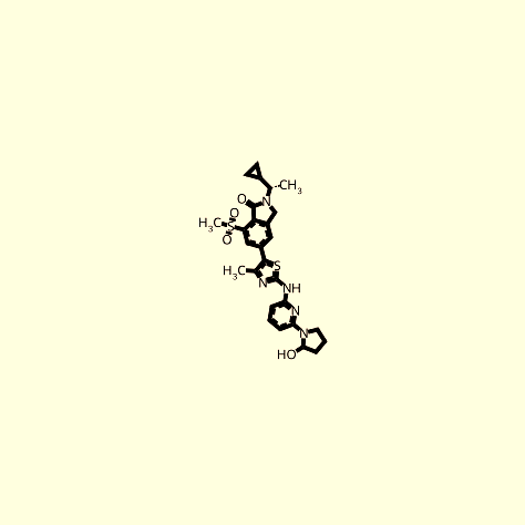 Cc1nc(Nc2cccc(N3CCCC3O)n2)sc1-c1cc2c(c(S(C)(=O)=O)c1)C(=O)N([C@@H](C)C1CC1)C2